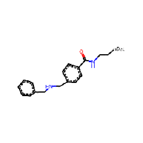 CCCCCCCCCCCCNC(=O)c1ccc(CNCc2ccccc2)cc1